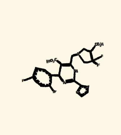 CCOC(=O)C1=C(CN2CC(C(=O)O)C(F)(F)C2)NC(c2nccs2)=NC1c1ccc(F)cc1Br